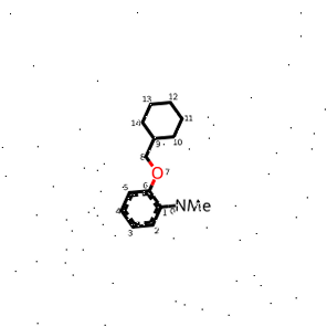 CNc1ccccc1OCC1CCCCC1